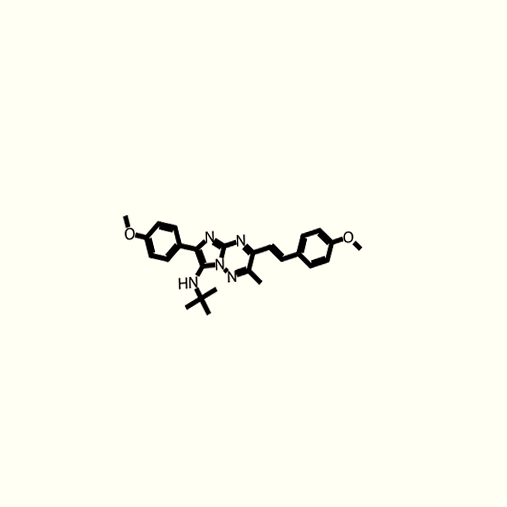 COc1ccc(/C=C/c2nc3nc(-c4ccc(OC)cc4)c(NC(C)(C)C)n3nc2C)cc1